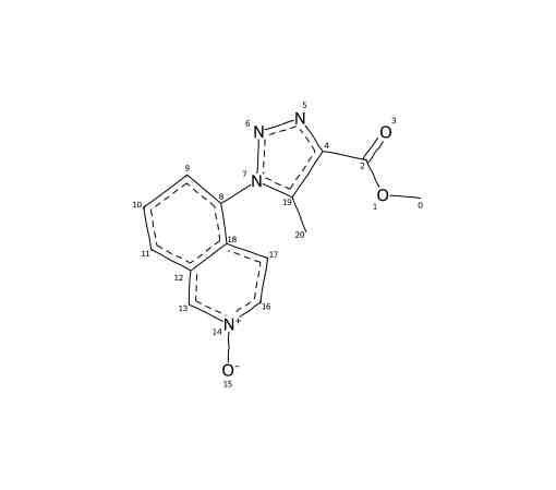 COC(=O)c1nnn(-c2cccc3c[n+]([O-])ccc23)c1C